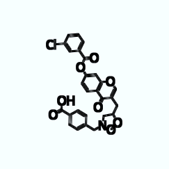 O=C(O)c1ccc(CN2CC(Cc3coc4cc(OC(=O)c5cccc(Cl)c5)ccc4c3=O)OO2)cc1